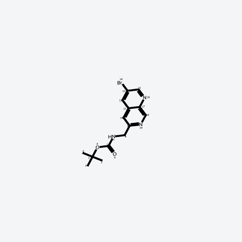 CC(C)(C)OC(=O)NCc1cc2cc(Br)cnc2cn1